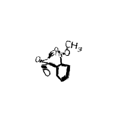 CO[N+](=O)c1ccccc1S(=O)(=O)Cl